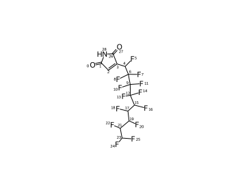 O=C1C=C(C(F)C(F)(F)C(F)(F)C(F)(F)C(F)C(F)C(F)C(F)C(F)F)C(=O)N1